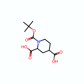 CC(C)(C)OC(=O)N1CCC(C(=O)O)CC1C(=O)O